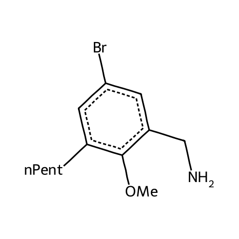 CCCCCc1cc(Br)cc(CN)c1OC